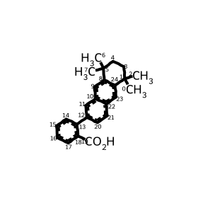 CC1(C)CCC(C)(C)c2cc3cc(-c4ccccc4C(=O)O)ccc3cc21